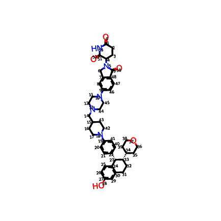 O=C1CCC(N2Cc3cc(N4CCN(CC5CCN(c6ccc([C@H]7c8ccc(O)cc8CC[C@H]7C7CCOCC7)cc6)CC5)CC4)ccc3C2=O)C(=O)N1